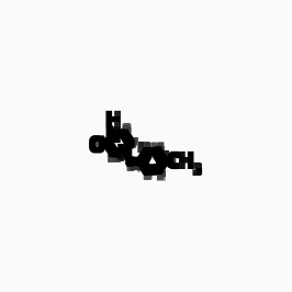 Cc1ccc(CN2CCNC(=O)C2)cc1